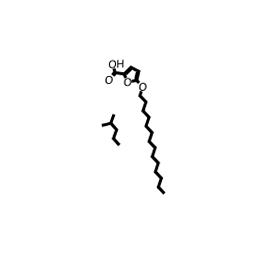 CCCC(C)C.CCCCCCCCCCCCCCOc1ccc(C(=O)O)o1